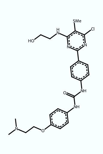 CSc1c(Cl)nc(-c2ccc(NC(=O)Nc3ccc(OCCN(C)C)cc3)cc2)nc1NCCO